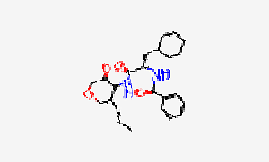 CCCC1COCC(=O)C1NC(=O)C(CC1CCCCC1)NC(=O)c1ccccc1